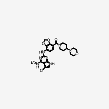 CCNc1nc(Nc2ccc(C(=O)N3CCC(N4CCOCC4)CC3)c3c2OCO3)nc2[nH]cc(Cl)c12